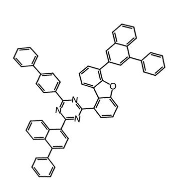 c1ccc(-c2ccc(-c3nc(-c4ccc(-c5ccccc5)c5ccccc45)nc(-c4cccc5oc6c(-c7cc(-c8ccccc8)c8ccccc8c7)cccc6c45)n3)cc2)cc1